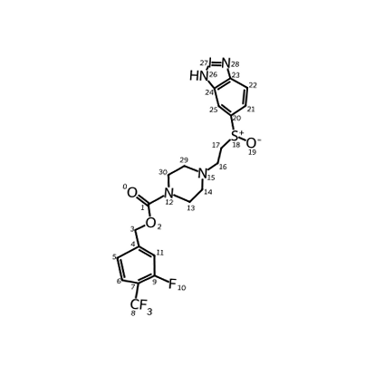 O=C(OCc1ccc(C(F)(F)F)c(F)c1)N1CCN(CC[S+]([O-])c2ccc3c(c2)NI=N3)CC1